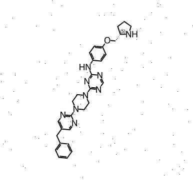 c1ccc(Cc2cnc(N3CCN(c4ncnc(Nc5ccc(OC[C@@H]6CCCN6)cc5)n4)CC3)nc2)cc1